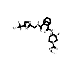 CC(C)(C)OC(=O)N1CC[C@@H](NC(=O)C2C3CCC(CC3)C2C(=O)NCc2nc(C(C)(F)F)co2)[C@H](F)C1